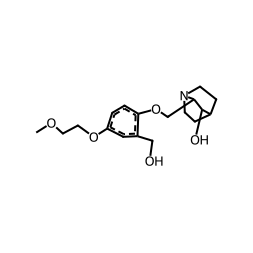 COCCOc1ccc(OCC2C(O)C3CCN2CC3)c(CO)c1